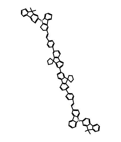 CC1(C)c2ccccc2-c2ccc(-n3c4c(c5ccccc53)C=C(/C=C/c3ccc(-c5ccc6c(c5)C5(CCCC5)c5cc(-c7ccc8c(c7)C7(CCCC7)c7cc(-c9ccc(/C=C/c%10ccc%11c(c%10)c%10ccccc%10n%11-c%10ccc%11c(c%10)C(C)(C)c%10ccccc%10-%11)cc9)ccc7-8)ccc5-6)cc3)CC4)cc21